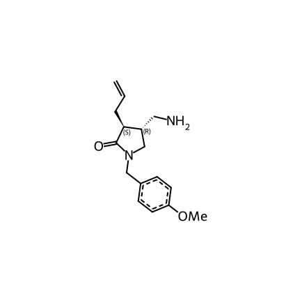 C=CC[C@@H]1C(=O)N(Cc2ccc(OC)cc2)C[C@H]1CN